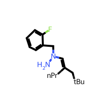 CCC/C(=C\N(N)Cc1ccccc1F)CC(C)(C)C